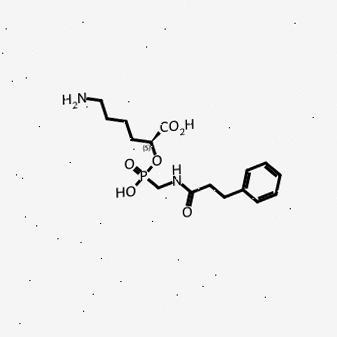 NCCCC[C@H](OP(=O)(O)CNC(=O)CCc1ccccc1)C(=O)O